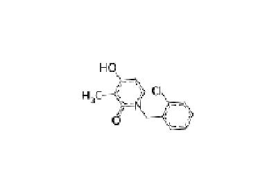 Cc1c(O)ccn(Cc2ccccc2Cl)c1=O